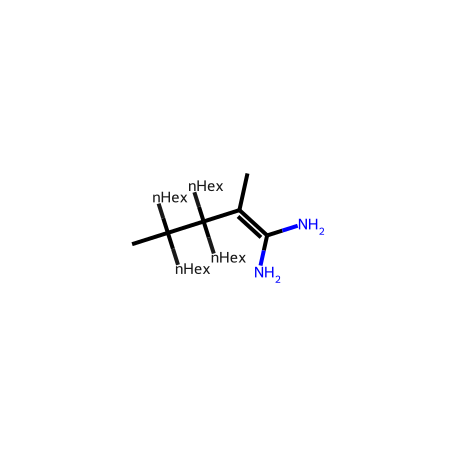 CCCCCCC(C)(CCCCCC)C(CCCCCC)(CCCCCC)C(C)=C(N)N